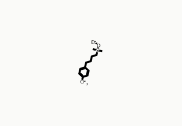 CCO[Si](C)(C)CCCCc1ccc(C(F)(F)F)cc1